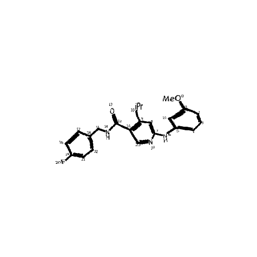 COc1cccc(Nc2cc(C(C)C)c(C(=O)NCc3ccc(F)cc3)cn2)c1